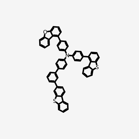 c1cc(-c2ccc(N(c3ccc(-c4cccc5oc6ccccc6c45)cc3)c3ccc(-c4cccc5sc6ccccc6c45)cc3)cc2)cc(-c2ccc3c(c2)sc2ccccc23)c1